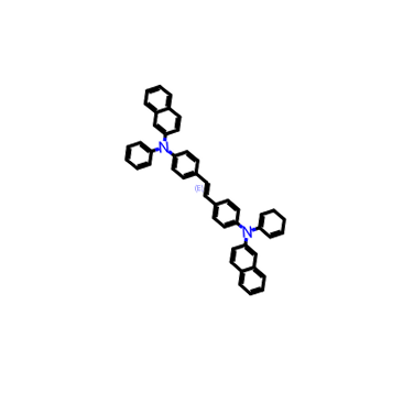 C1=CC(N(c2ccc(/C=C/c3ccc(N(c4ccccc4)c4ccc5ccccc5c4)cc3)cc2)c2ccc3ccccc3c2)=CCC1